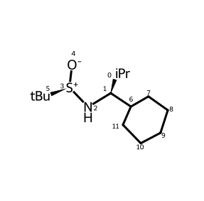 CC(C)[C@H](N[S@+]([O-])C(C)(C)C)C1CCCCC1